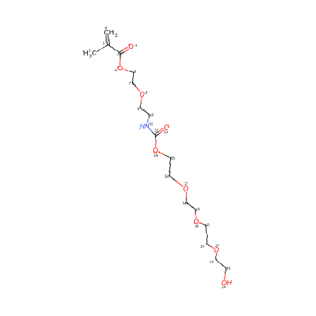 C=C(C)C(=O)OCCOCCNC(=O)OCCOCCOCCOCCO